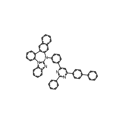 c1ccc(-c2ccc(-c3cc(-c4cccc(N5c6cc7ccccc7cc6-c6ccccc6-n6c5nc5ccccc56)c4)nc(-c4ccccc4)n3)cc2)cc1